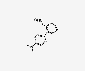 CN(C)c1ccc(-c2ccccc2CC=O)cc1